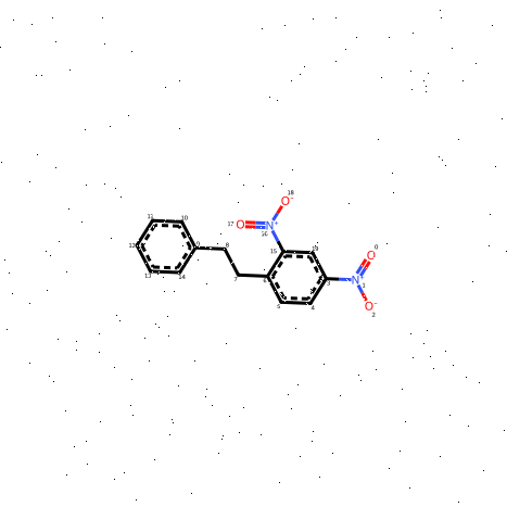 O=[N+]([O-])c1ccc(CCc2ccccc2)c([N+](=O)[O-])c1